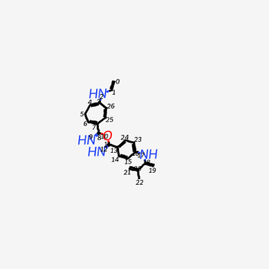 C=CNC1=CCC=C(C(=N)OC(=N)c2ccc(NC(=C)C(=C)C)cc2)C=C1